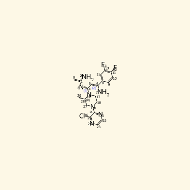 C=C(N)/N=C(\C=C(/N)c1ccc(F)c(F)c1)N1CCN(c2nccnc2Cl)C[C@H]1C